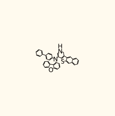 C1=C(N(c2ccc(-c3ccccc3)cc2)c2cccc3oc4ccccc4c23)c2sc3cc4ccccc4cc3c2CN1